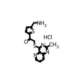 Cc1nc(SCC(=O)c2ccc(CN)s2)c2ncccc2n1.Cl